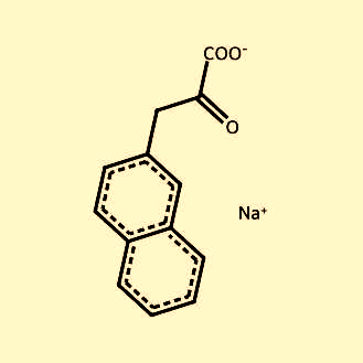 O=C([O-])C(=O)Cc1ccc2ccccc2c1.[Na+]